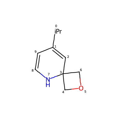 CC(C)C1=CC2(COC2)NC=C1